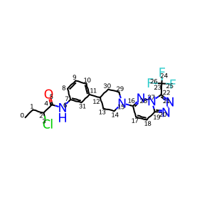 CCC(Cl)C(=O)Nc1cccc(C2CCN(c3ccc4nnc(C(F)(F)F)n4n3)CC2)c1